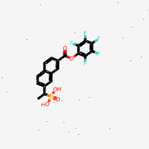 CC(c1ccc2ccc(C(=O)Oc3c(F)c(F)c(F)c(F)c3F)cc2c1)P(=O)(O)O